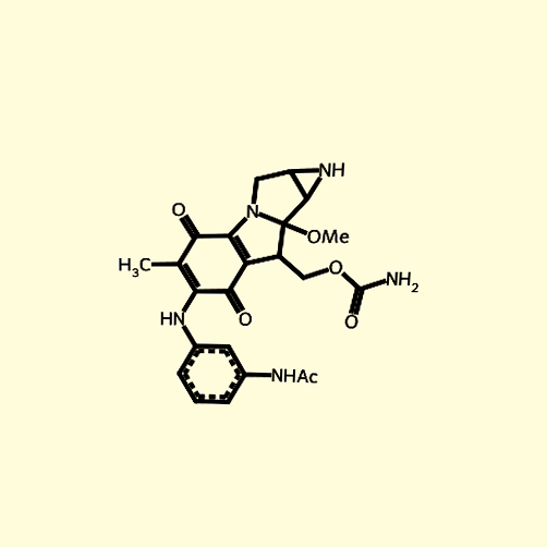 COC12C(COC(N)=O)C3=C(C(=O)C(C)=C(Nc4cccc(NC(C)=O)c4)C3=O)N1CC1NC12